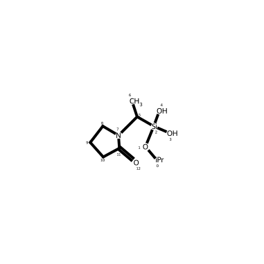 CC(C)O[Si](O)(O)C(C)N1CCCC1=O